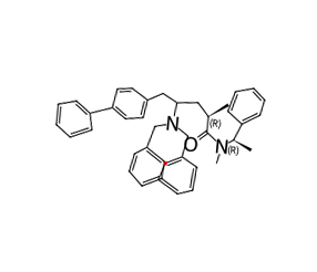 C[C@H](CC(Cc1ccc(-c2ccccc2)cc1)N(Cc1ccccc1)Cc1ccccc1)C(=O)N(C)[C@H](C)c1ccccc1